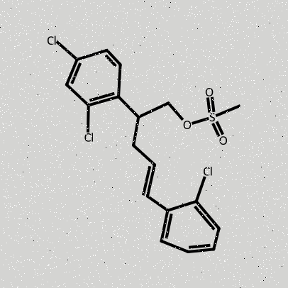 CS(=O)(=O)OCC(C/C=C/c1ccccc1Cl)c1ccc(Cl)cc1Cl